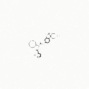 Cn1nccc1C(=O)NC(C(=O)Nc1ccc2c(c1)NC(=O)C21CCNCC1)C1CCCCCCC1